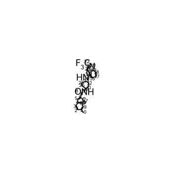 Cc1ccc2cc(C(=O)NC3CCC(Nc4cccc5nc(C(F)(F)F)cn45)CC3)sc2c1